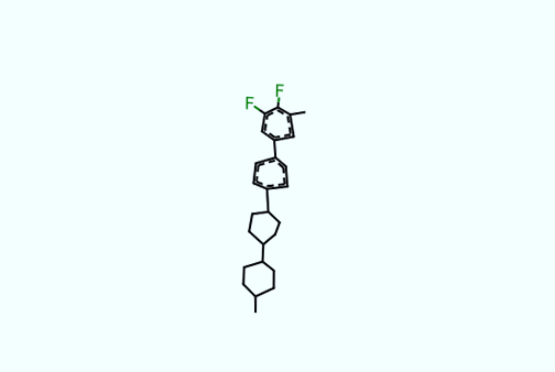 Cc1cc(-c2ccc(C3CCC(C4CCC(C)CC4)CC3)cc2)cc(F)c1F